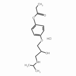 CCC(=O)Oc1ccc(OCC(O)CNC(C)C)cc1.Cl